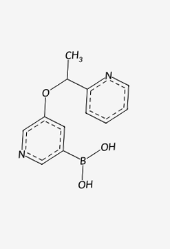 CC(Oc1cncc(B(O)O)c1)c1ccccn1